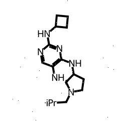 C[C](C)CN1CCC(Nc2nc(NC3CCC3)ncc2N)C1